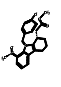 COC(=O)C[C@@H]1CCCc2c1n(Cc1ccc(Cl)cc1)c1c([S@@+](C)[O-])cccc21